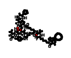 CCCC(CCC)(c1ccccccccc1)C1CC(=O)N(CCCCCC(NC(C(=O)NC(CCCNC(N)=O)C(=O)NCCCC(=O)Nc2ccc(COC(=O)N(C)C(C(=O)NC(C(=O)N(C)C(C(C)CC)C(CC(=O)N3CCCC3C(OC)C(C)C(=O)NC(C)C(O)c3ccccc3)OC)C(C)C)C(C)C)cc2)C(C)C)C(F)(F)F)C1=O